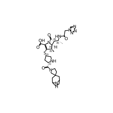 C[C@@H](NC(=O)Cn1cnnn1)[C@H]1C(=O)N2C(C(=O)O)=C(S[C@@H]3CN[C@H](C(=O)N4CCC5(CC6CCC(C5)N6)C4)C3)[C@H](C)[C@H]12